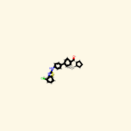 O=C(O)[C@@H]1CCC[C@H]1C(=O)c1ccc(-c2ccc(Nc3nc4c(Cl)cccc4s3)cc2)cc1